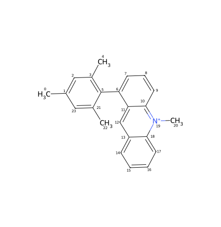 Cc1cc(C)c(-c2cccc3c2cc2ccccc2[n+]3C)c(C)c1